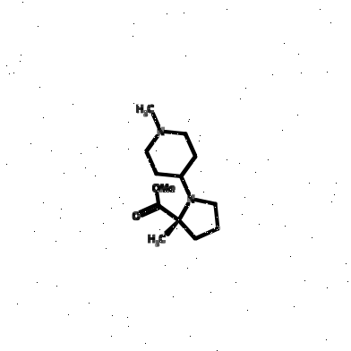 COC(=O)[C@@]1(C)CCCN1C1CCN(C)CC1